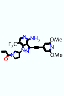 C=CC(=O)N1CCC(n2nc(C#Cc3cc(OC)nc(OC)c3)c3c(N)ncc(C(F)(F)F)c32)C1